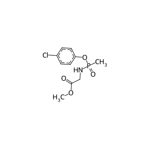 COC(=O)CNP(C)(=O)Oc1ccc(Cl)cc1